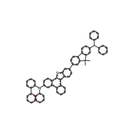 CC1(C)c2cc(-c3ccc4c(c3)sc3c5ccc(N(c6ccccc6)c6ccccc6-c6ccccc6)cc5c5ccccc5c43)ccc2-c2ccc(C(c3ccccc3)c3ccccc3)cc21